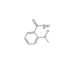 C[S+]([O-])c1ccccc1C(=O)O.Cl